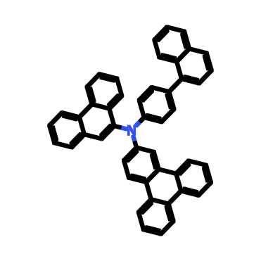 c1ccc2c(-c3ccc(N(c4ccc5c6ccccc6c6ccccc6c5c4)c4cc5ccccc5c5ccccc45)cc3)cccc2c1